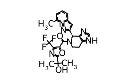 Cc1cccc2cc([C@H]3c4nc[nH]c4CCN3C(=O)c3oc(C(C)(C)O)nc3C(F)(F)F)nn12